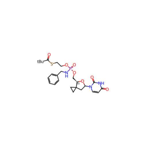 CC(C)(C)C(=O)SCCOP(=O)(NCc1ccccc1)OC[C@H]1OC(n2ccc(=O)[nH]c2=O)CC12CC2